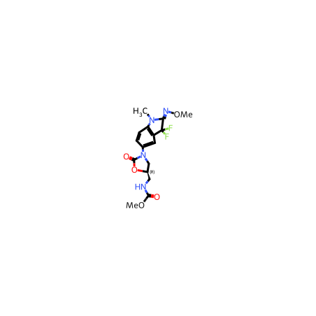 CON=C1N(C)c2ccc(N3C[C@@H](CNC(=O)OC)OC3=O)cc2C1(F)F